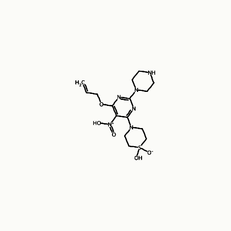 C=CCOc1nc(N2CCNCC2)nc(N2CCS([O-])(O)CC2)c1[N+](=O)O